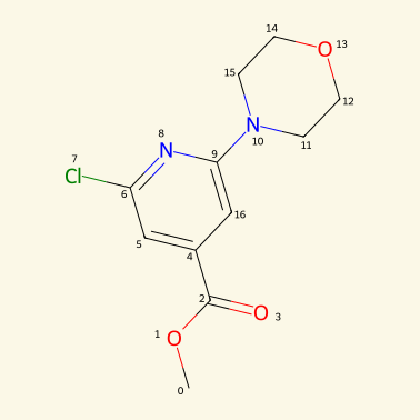 COC(=O)c1cc(Cl)nc(N2CCOCC2)c1